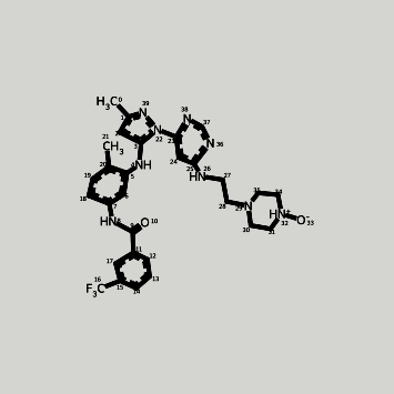 Cc1cc(Nc2cc(NC(=O)c3cccc(C(F)(F)F)c3)ccc2C)n(-c2cc(NCCN3CC[NH+]([O-])CC3)ncn2)n1